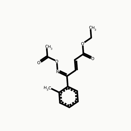 CCOC(=O)C=CC(=NOC(C)=O)c1ccccc1C